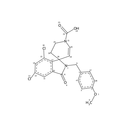 COc1ccc(CN2C(=O)c3cc(Cl)cc(Cl)c3C23C=CN(C(=O)O)CC3)cc1